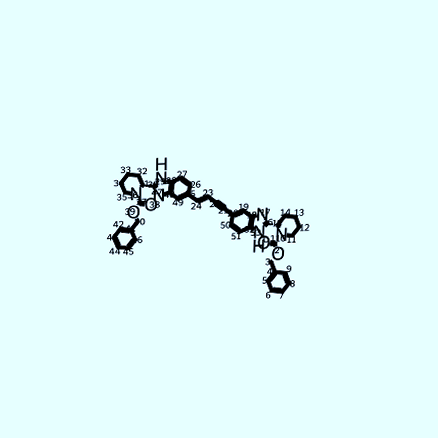 O=C(OCc1ccccc1)N1CCCC[C@H]1c1nc2cc(C#C/C=C/c3ccc4[nH]c([C@@H]5CCCCN5C(=O)OCc5ccccc5)nc4c3)ccc2[nH]1